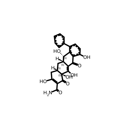 NC(=O)C1=C(O)C[C@@H]2C[C@H]3C(=C(O)[C@]2(O)C1=O)C(=O)c1c(O)ccc(-c2ccccc2)c1[C@H]3O